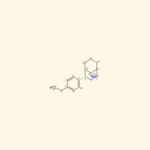 CCc1ccc([C@H]2CCC3CCCC2C3N)cc1